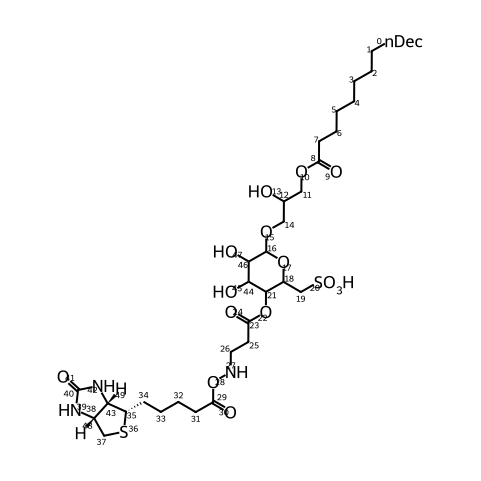 CCCCCCCCCCCCCCCCCC(=O)OCC(O)COC1OC(CS(=O)(=O)O)C(OC(=O)CCNOC(=O)CCCC[C@@H]2SC[C@@H]3NC(=O)N[C@@H]32)C(O)C1O